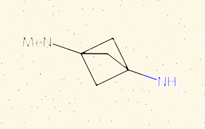 CNC12CC(N)(C1)C2